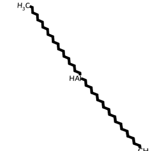 CCCCCCCCCCCCCCCCCCC[CH2][AlH][CH2]CCCCCCCCCCCCCCCCCCC